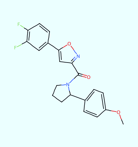 COc1ccc(C2CCCN2C(=O)c2cc(-c3ccc(F)c(F)c3)on2)cc1